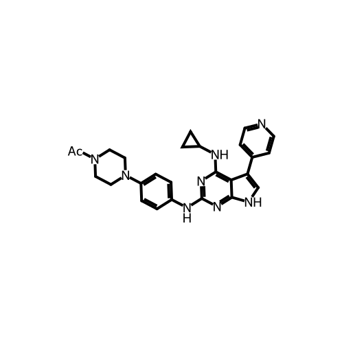 CC(=O)N1CCN(c2ccc(Nc3nc(NC4CC4)c4c(-c5ccncc5)c[nH]c4n3)cc2)CC1